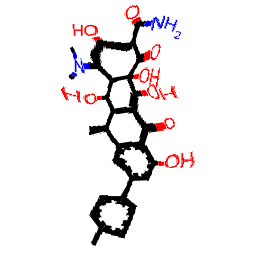 Cc1ccc(-c2cc(O)c3c(c2)C(C)C2C(=C(O)C4(O)C(=O)C(C(N)=O)=C(O)C(N(C)C)C4C2O)C3=O)cc1